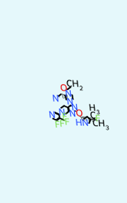 C=CC(=O)N1CCN(c2nc(OC[C@@H]3C[C@@H](C(C)(C)F)CN3)nc3c2CCN(c2cncc(F)c2C(F)(F)F)C3)C[C@@H]1CC#N